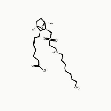 CCCCCCCCNCCS(=O)(=O)C[C@H]1[C@@H](C/C=C\CCCC(=O)O)[C@H]2CC[C@@H]1O2